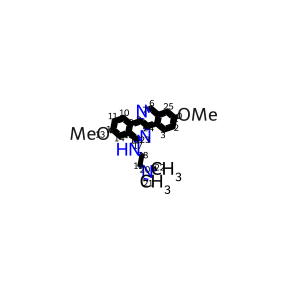 COc1ccc2c(cnc3c4ccc(OC)cc4c(NCCN(C)C)nc23)c1